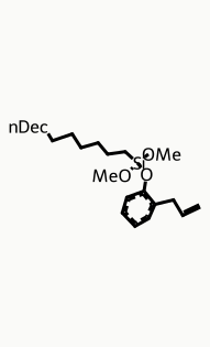 C=CCc1ccccc1O[Si](CCCCCCCCCCCCCCCC)(OC)OC